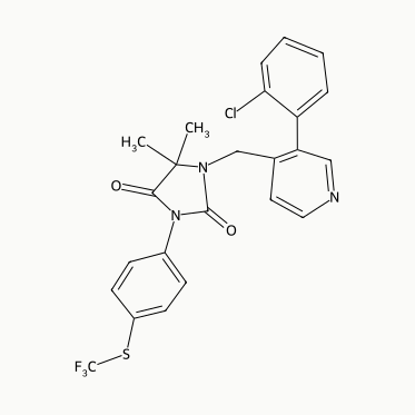 CC1(C)C(=O)N(c2ccc(SC(F)(F)F)cc2)C(=O)N1Cc1ccncc1-c1ccccc1Cl